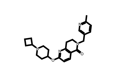 Cc1ccc(CN2CCc3nc(OC4CCN(C5CCC5)CC4)ccc3C2=O)cn1